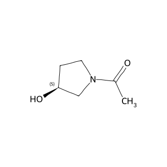 CC(=O)N1CC[C@H](O)C1